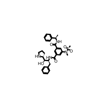 C[C@@H](NC(=O)c1cc(C(=O)N[C@@H](Cc2ccccc2)[C@@H](O)[C@H]2CCCN2)cc(N(C)S(C)(=O)=O)c1)c1ccccc1